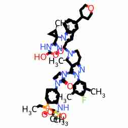 CCP(=O)(CC)c1ccc(-n2ccn(-c3c4c(nn3-c3cc(C)c(F)c(C)c3)CCN(C(=O)c3cc5cc(C6CCOCC6)ccc5n3[C@@]3(C5=NOC(O)N5)C[C@@H]3C)[C@H]4C)c2=O)cc1NS(C)(=O)=O